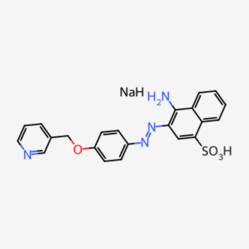 Nc1c(/N=N/c2ccc(OCc3cccnc3)cc2)cc(S(=O)(=O)O)c2ccccc12.[NaH]